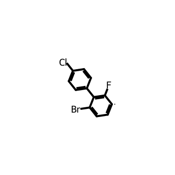 Fc1[c]ccc(Br)c1-c1ccc(Cl)cc1